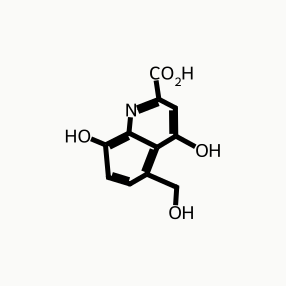 O=C(O)c1cc(O)c2c(CO)ccc(O)c2n1